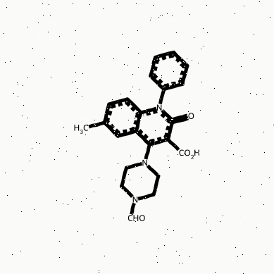 Cc1ccc2c(c1)c(N1CCN(C=O)CC1)c(C(=O)O)c(=O)n2-c1ccccc1